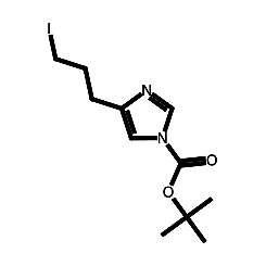 CC(C)(C)OC(=O)n1cnc(CCCI)c1